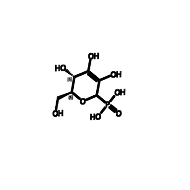 O=P(O)(O)C1O[C@@H](CO)[C@H](O)C(O)=C1O